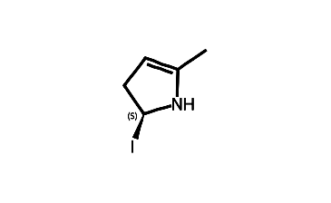 CC1=CC[C@H](I)N1